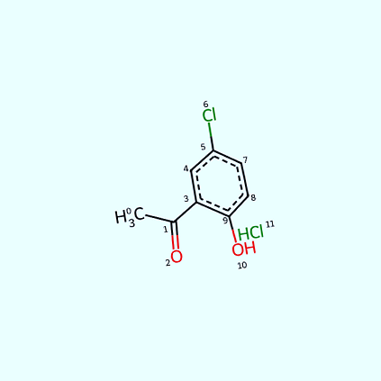 CC(=O)c1cc(Cl)ccc1O.Cl